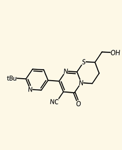 CC(C)(C)c1ccc(-c2nc3n(c(=O)c2C#N)CCC(CO)S3)cn1